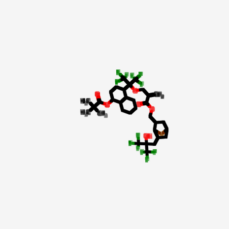 C=C(COC(C1CCC(OC(=O)C(C)(C)C)C2CCCCC21)(C(F)(F)F)C(F)(F)F)C(=O)OCC1CC2CC(CC(O)(C(F)(F)F)C(F)(F)F)C1S2